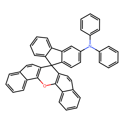 c1ccc(N(c2ccccc2)c2ccc3c(c2)-c2ccccc2C32c3ccc4ccccc4c3Oc3c2ccc2ccccc32)cc1